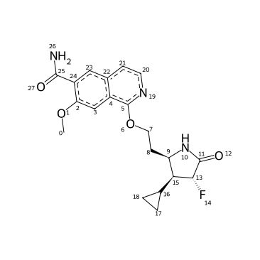 COc1cc2c(OCC[C@H]3NC(=O)[C@H](F)[C@H]3C3CC3)nccc2cc1C(N)=O